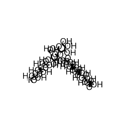 O=S(=O)(O)O.O=S(=O)(O)O.O=S(=O)(O)O.O=S(=O)(O)O.O=S(=O)(O)O.O=S(=O)(O)O.O=S(=O)(O)O.O=S(=O)(O)O.OC[C@H]1O[C@H](O[C@H]2[C@H](O)[C@@H](O)[C@H](O)O[C@@H]2CO)[C@H](O)[C@@H](O)[C@@H]1O.[K]